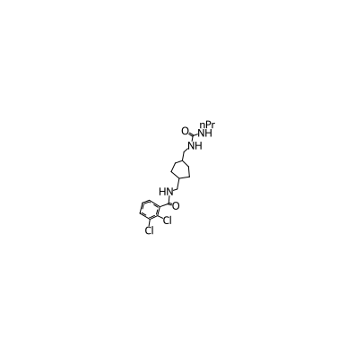 CCCNC(=O)NCC1CCC(CNC(=O)c2cccc(Cl)c2Cl)CC1